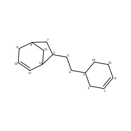 C1=CCC(CCC2CC3CC=CC2C3)CC1